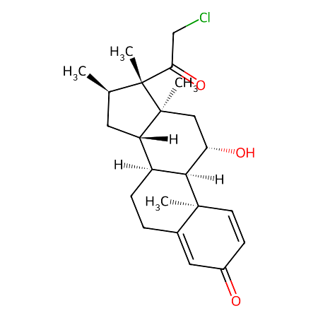 C[C@@H]1C[C@H]2[C@@H]3CCC4=CC(=O)C=C[C@]4(C)[C@@H]3[C@@H](O)C[C@]2(C)[C@@]1(C)C(=O)CCl